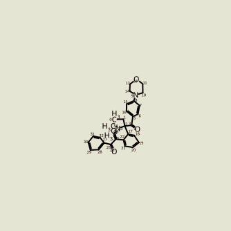 CCC(C(=O)c1ccc(N2CCOCC2)cc1)(c1ccccc1C(=O)C(=O)c1ccccc1)N(C)C